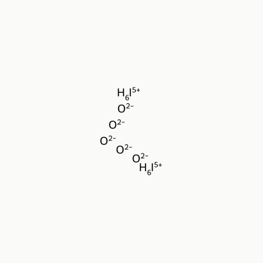 [IH6+5].[IH6+5].[O-2].[O-2].[O-2].[O-2].[O-2]